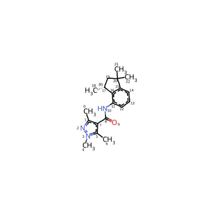 Cc1nn(C)c(C)c1C(=O)Nc1cccc2c1[C@H](C)CC2(C)C